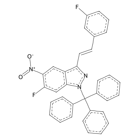 O=[N+]([O-])c1cc2c(C=Cc3cccc(F)c3)nn(C(c3ccccc3)(c3ccccc3)c3ccccc3)c2cc1F